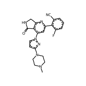 CN1CCN(c2ccn(-c3cc(-c4c(F)cccc4C#N)nc4c3C(=O)NC4)n2)CC1